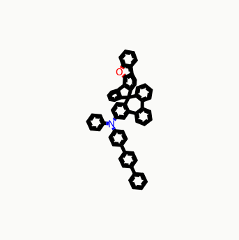 c1ccc(-c2ccc(-c3ccc(N(c4ccccc4)c4ccc5c(c4)-c4ccccc4-c4ccccc4C54c5ccccc5-c5c4ccc4c5oc5ccccc54)cc3)cc2)cc1